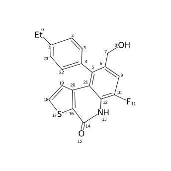 CCc1ccc(-c2c(CO)cc(F)c3[nH]c(=O)c4sccc4c23)cc1